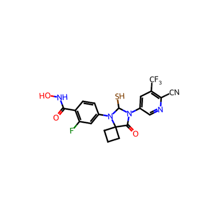 N#Cc1ncc(N2C(=O)C3(CCC3)N(c3ccc(C(=O)NO)c(F)c3)C2S)cc1C(F)(F)F